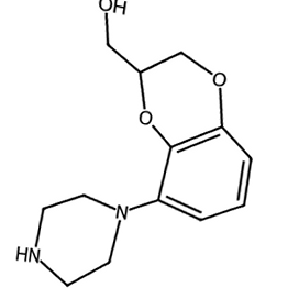 OCC1COc2cccc(N3CCNCC3)c2O1